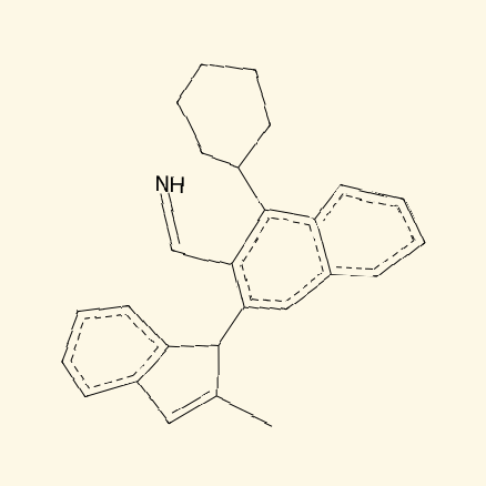 CC1=Cc2ccccc2C1c1cc2ccccc2c(C2CCCCC2)c1C=N